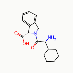 N[C@H](C(=O)N1Cc2ccccc2[C@H]1C(=O)O)C1CCCCC1